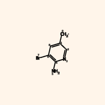 [CH2]c1cnc(N)c(Br)c1